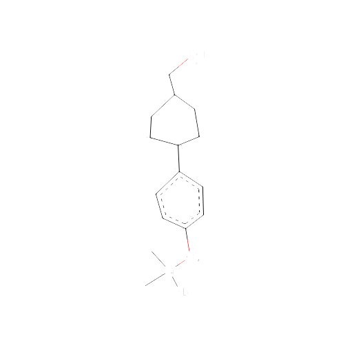 CC(C)(C)[Si](C)(C)Oc1ccc(C2CCC(CO)CC2)cc1